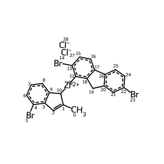 CC1=Cc2c(Br)cccc2[CH]1[Zr+2][c]1c(Br)ccc2c1Cc1cc(Br)ccc1-2.[Cl-].[Cl-]